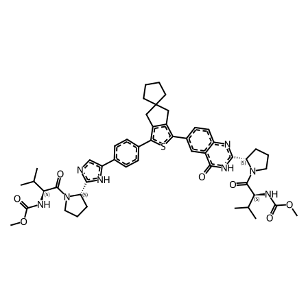 COC(=O)N[C@H](C(=O)N1CCC[C@H]1c1ncc(-c2ccc(-c3sc(-c4ccc5nc([C@@H]6CCCN6C(=O)[C@@H](NC(=O)OC)C(C)C)[nH]c(=O)c5c4)c4c3CC3(CCCC3)C4)cc2)[nH]1)C(C)C